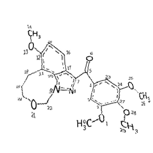 COc1cc(C(=O)c2nn3c4c(c(OC)ccc24)CCCOC3)cc(OC)c1OC